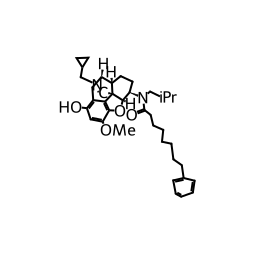 COc1cc(O)c2c3c1O[C@H]1[C@H](N(CC(C)C)C(=O)CCCCCCCc4ccccc4)CC[C@H]4[C@@H](C2)N(CC2CC2)CC[C@@]341